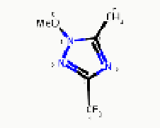 COn1nc(C(F)(F)F)nc1C